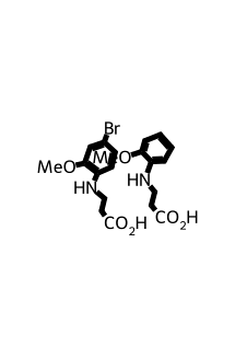 COc1cc(Br)ccc1NCCC(=O)O.COc1ccccc1NCCC(=O)O